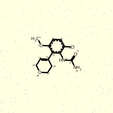 COc1ccc(Cl)c(NC(N)=O)c1C1=CCOCC1